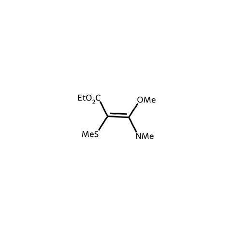 CCOC(=O)/C(SC)=C(/NC)OC